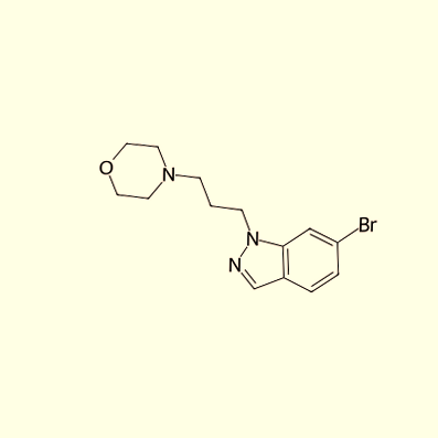 Brc1ccc2cnn(CCCN3CCOCC3)c2c1